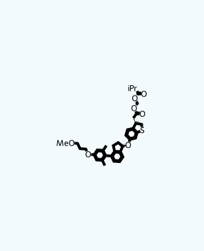 COCCCOc1cc(C)c(-c2cccc3c2CC[C@H]3Oc2ccc3c(c2)SC[C@H]3CC(=O)OCOC(=O)C(C)C)c(C)c1